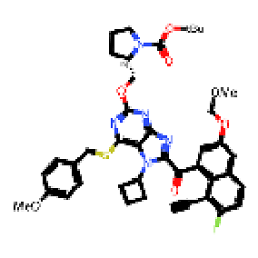 C#Cc1c(F)ccc2cc(OCOC)cc(C(=O)c3nc4nc(OC[C@@H]5CCCN5C(=O)OC(C)(C)C)nc(SCc5ccc(OC)cc5)c4n3C3CCC3)c12